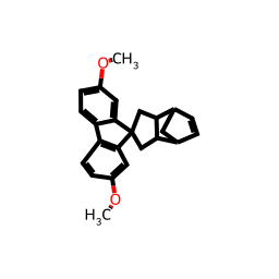 COc1ccc2c(c1)C1(CC3C4C=CC(C4)C3C1)c1cc(OC)ccc1-2